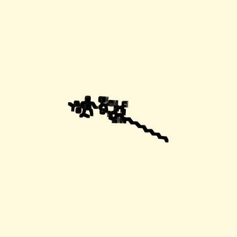 CCCCCCCCCCCCNc1nc(Cl)nc2c1ncn2[C@@H]1O[C@H](CCP(=O)(CP(=O)(OC(C)C)OC(C)C)OCC)[C@@H](O)[C@H]1O